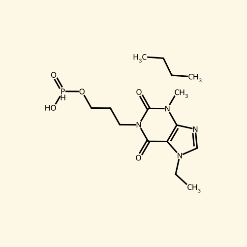 CCCC.CCn1cnc2c1c(=O)n(CCCO[PH](=O)O)c(=O)n2C